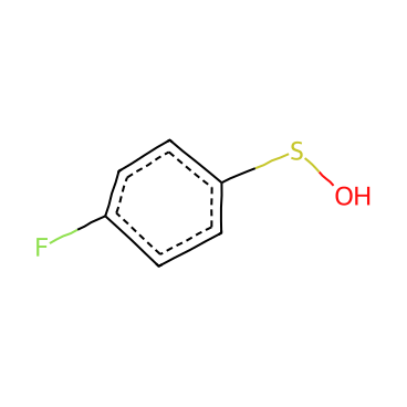 OSc1ccc(F)cc1